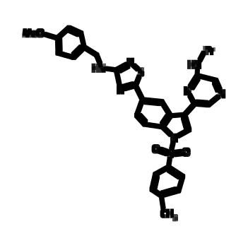 COc1ccc(CNc2nsc(-c3ccc4c(c3)c(-c3cncc(NC(C)C)n3)cn4S(=O)(=O)c3ccc(C)cc3)n2)cc1